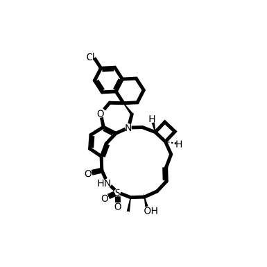 C[C@@H]1[C@H](O)C/C=C/C[C@@H]2CC[C@H]2CN2C[C@@]3(CCCc4cc(Cl)ccc43)COc3ccc(cc32)C(=O)NS1(=O)=O